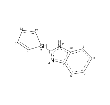 C1=C[SH](c2nc3ccccc3[nH]2)C=C1